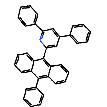 c1ccc(-c2cc(-c3ccccc3)nc(-c3c4ccccc4c(-c4ccccc4)c4ccccc34)c2)cc1